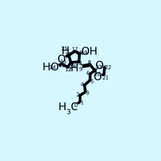 CCCCCCCC1(/C=C/[C@@H]2[C@H]3CC(O)O[C@H]3C[C@H]2O)OCCO1